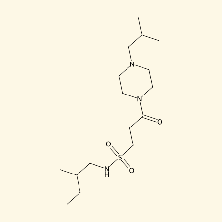 CCC(C)CNS(=O)(=O)CCC(=O)N1CCN(CC(C)C)CC1